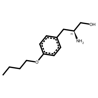 CCCCOc1ccc(C[C@H](N)CO)cc1